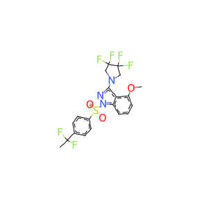 COc1cccc2c1c(N1CC(F)(F)C(F)(F)C1)nn2S(=O)(=O)c1ccc(C(C)(F)F)cc1